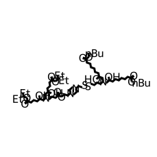 CCCCOC(=O)CCCCCCC(O)CN(CCCCSSCCN1CCN(CCOC(=O)CCCN(CC(O)CCCC(=O)OC(CC)CC)CC(O)CCCC(=O)OC(CC)CC)CC1)CC(O)CCCCCCC(=O)OCCCC